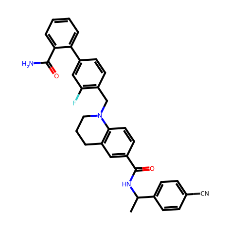 CC(NC(=O)c1ccc2c(c1)CCCN2Cc1ccc(-c2ccccc2C(N)=O)cc1F)c1ccc(C#N)cc1